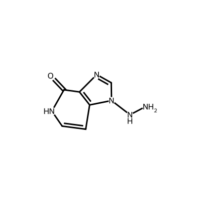 NNn1cnc2c(=O)[nH]ccc21